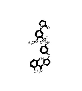 COc1ccc(N2CCCC2=O)cc1S(=O)(=O)Nc1cccc(O[C@H]2CCN(C(=O)c3c(C)cccc3C)C2)c1